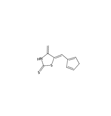 C=c1[nH]c(=S)s/c1=C\C1=CCC=C1